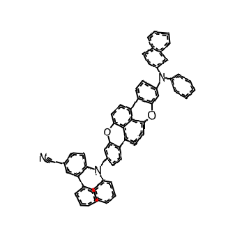 N#Cc1ccc(N(c2ccccc2)c2ccc3c(c2)Oc2ccc4c5c(ccc-3c25)Oc2cc(N(c3ccccc3)c3ccc5ccccc5c3)ccc2-4)c(-c2ccccc2)c1